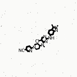 Cc1c2ccc(Nc3ncc(Cl)c(N(C)C4CCN(c5ccc(C#N)cn5)CC4)n3)cc2nn1C